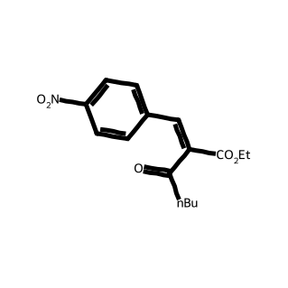 CCCCC(=O)C(=Cc1ccc([N+](=O)[O-])cc1)C(=O)OCC